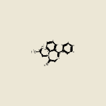 O=C(O)CN1C(=O)CN=C(c2ccccc2)c2ccccc21